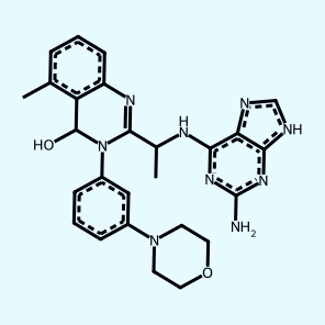 Cc1cccc2c1C(O)N(c1cccc(N3CCOCC3)c1)C(C(C)Nc1nc(N)nc3[nH]cnc13)=N2